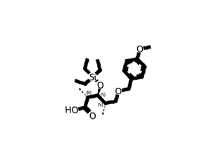 CC[Si](CC)(CC)O[C@@H]([C@@H](C)COCc1ccc(OC)cc1)[C@@H](C)C(=O)O